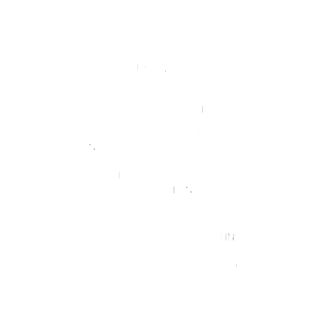 COc1ccc(-c2sc(CC(N)CCCNC=O)cc2-c2ccc(C#N)c(F)c2)c(F)c1